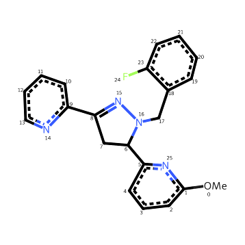 COc1cccc(C2CC(c3ccccn3)=NN2Cc2ccccc2F)n1